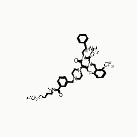 Cc1c(N2CCN(Cc3cccc(C(=O)NCCCC(=O)O)c3)CC2)c(=O)n(C[C@@H](N)c2ccccc2)c(=O)n1Cc1c(F)cccc1C(F)(F)F